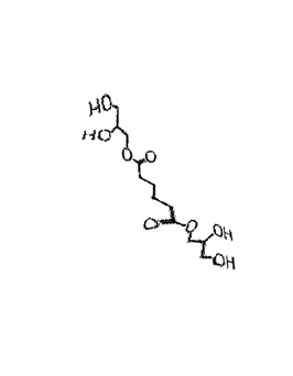 O=C(CCCCC(=O)OCC(O)CO)OCC(O)CO